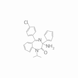 CC(C)N1C(=O)C(N)(c2ccccc2)N=C(c2ccc(Cl)cc2)c2ccccc21